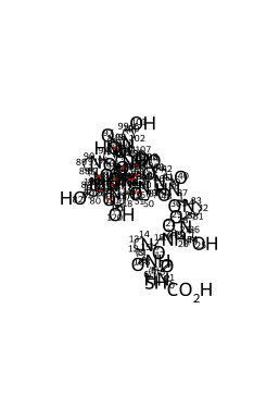 O=C(O)CNC(=O)[C@H](CS)NC(=O)[C@@H]1CCCN1C(=O)CNC(=O)[C@@H]1C[C@@H](O)CN1C(=O)[C@@H]1CCCN1C(=O)CNC(=O)[C@@H]1C[C@@H](O)CN1C(=O)[C@@H]1CCCN1C(=O)CNC(=O)[C@@H]1C[C@@H](O)CN1C(=O)[C@@H]1CCCN1C(=O)CNC(=O)[C@@H]1C[C@@H](O)CN1C(=O)[C@@H]1CCCN1C(=O)CNC(=O)[C@@H]1C[C@@H](O)CN1C(=O)[C@@H]1CCCN1C(=O)CNC(=O)[C@@H]1C[C@@H](O)CN1C(=O)[C@@H]1CCCN1